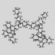 c1ccc(-c2ccc(N(c3ccc(-c4ccc(N(c5ccc(-c6ccccc6)cc5)c5ccc(-c6sc(-c7ccccc7)c(-c7ccccc7)c6-c6ccccc6)cc5)cc4)cc3)c3ccc(-c4sc(-c5ccccc5)c(-c5ccccc5)c4-c4ccccc4)cc3)cc2)cc1